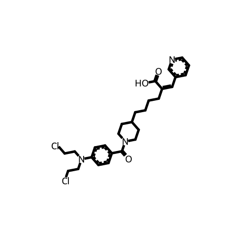 O=C(O)C(=Cc1cccnc1)CCCCC1CCN(C(=O)c2ccc(N(CCCl)CCCl)cc2)CC1